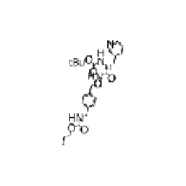 C=CCOC(=O)NCc1ccc(CONC(=O)[C@@H](Cc2cccnc2)NC(=O)OC(C)(C)C)cc1